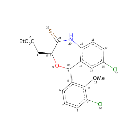 CCOC(=O)C[C@@H]1O[C@@H](c2cccc(Cl)c2OC)c2cc(Cl)ccc2NC1=S